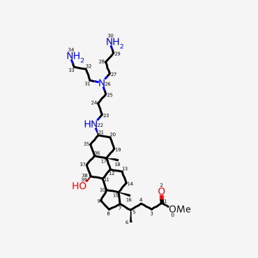 COC(=O)CC[C@@H](C)C1CCC2C3C(CC[C@@]21C)[C@@]1(C)CC[C@H](NCCCN(CCCN)CCCN)CC1C[C@@H]3O